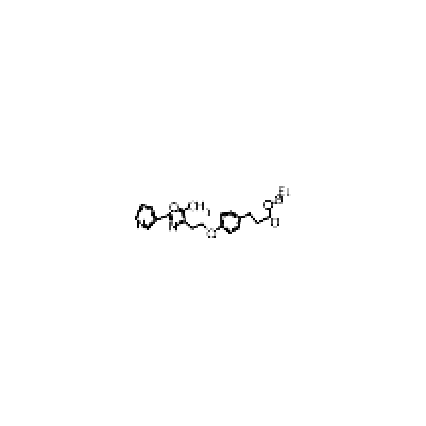 CCOOC(=O)CCc1ccc(OCCc2nc(-c3cccnc3)oc2C)cc1